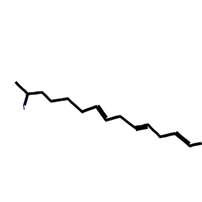 CCCCCC=CCC=CCC=CCCCCC(C)I